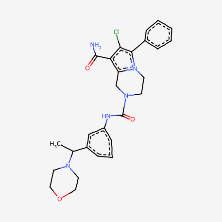 CC(c1cccc(NC(=O)N2CCn3c(c(C(N)=O)c(Cl)c3-c3ccccc3)C2)c1)N1CCOCC1